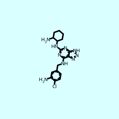 Nc1cc(CNc2nc(NC3CCCCC3N)nc3[nH]nnc23)ccc1Cl